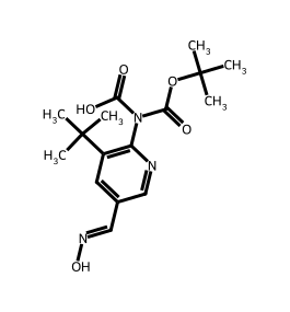 CC(C)(C)OC(=O)N(C(=O)O)c1ncc(/C=N/O)cc1C(C)(C)C